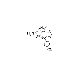 CC1=C(C)C2C(c3ccc(C#N)cc3)=N[C@@H]([C@@H](C)C(N)=O)c3onc(C)c3C2S1